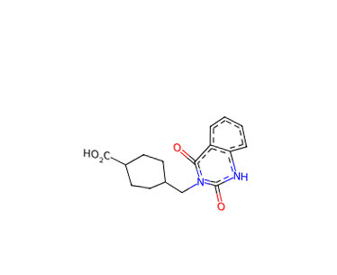 O=C(O)C1CCC(Cn2c(=O)[nH]c3ccccc3c2=O)CC1